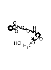 CCOC(=O)Cn1cc(NCCOCCOCCN2C(=O)c3ccccc3C2=O)ccc1=O.Cl